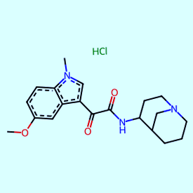 COc1ccc2c(c1)c(C(=O)C(=O)NC1CCN3CCCC1C3)cn2C.Cl